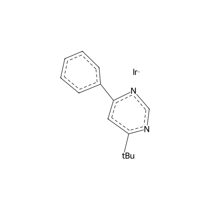 CC(C)(C)c1cc(-c2ccccc2)ncn1.[Ir]